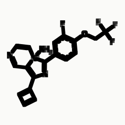 N[N+]12C=CN=CC1=C(C1=CC=C1)N=C2c1ccc(OCC(F)(F)F)c(F)c1